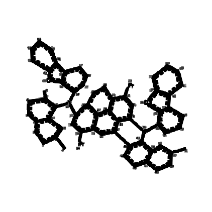 Cc1ccc2ccc(C)c(N(c3cc(C(C)C)c4cc5c6c(cc(C(C)C)c7ccc3c4c76)N(c3cccc4c3oc3ccccc34)c3c-5ccc4ccc(C)cc34)c3cccc4c3oc3ccccc34)c2c1